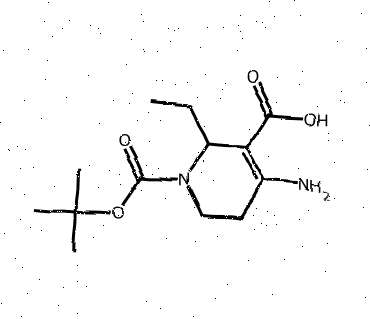 CCC1C(C(=O)O)=C(N)CCN1C(=O)OC(C)(C)C